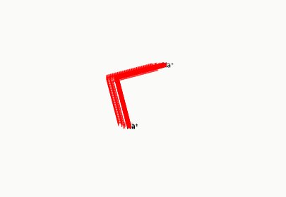 O.O.O.O.O.O.O.O.O.O.O.O.O.O.O.O.O.O.O.O.O.O.O.O.O.O.O.O.O.O.O.O.O.O.O.O.O.O.O.O.O.O.O.O.O.O.O.O.O.O.O.O.O.O.O.O.O.O.O.O.O.O.O.O.O.O.O.O.O.O.O.O.O.O.O.O.O.O.O.O.O.O.O.O.O.O.O.O.O.O.O.O.[Na+].[Na+].[Na+].[OH-].[OH-].[OH-]